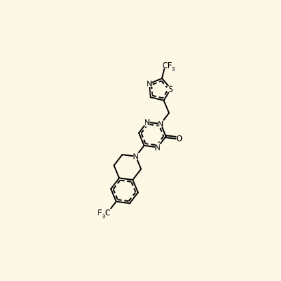 O=c1nc(N2CCc3cc(C(F)(F)F)ccc3C2)cnn1Cc1cnc(C(F)(F)F)s1